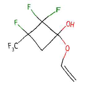 C=COC1(O)CC(F)(C(F)(F)F)C1(F)F